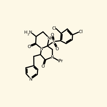 CC(C)N1CC2(S(=O)(=O)c3ccc(Cl)cc3Cl)NCC(N)C(=O)N2C(Cc2ccncc2)C1=O